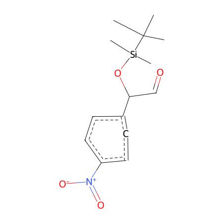 CC(C)(C)[Si](C)(C)OC(C=O)c1ccc([N+](=O)[O-])cc1